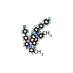 Cc1cccc(N(c2cc(-c3ccc(-c4ccc(F)cc4)cc3)ccc2F)c2ccc3ccc4c(N(c5cc(-c6ccc(-c7ccc(F)cc7)cc6)ccc5F)c5cccc(C)c5F)ccc5ccc2c3c54)c1F